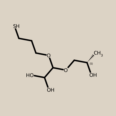 C[C@H](O)COC(OCCCS)C(O)O